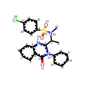 CC(c1nc2ccccc2c(=O)n1-c1ccccc1)N(C)S(=O)(=O)c1ccc(Cl)cc1